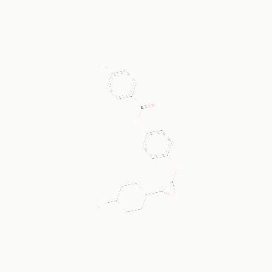 Cc1ccc(C(=O)Oc2ccc(OC3OC3C3CCC(C)CC3)cc2)cc1